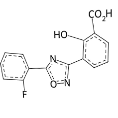 O=C(O)c1cccc(-c2noc(-c3ccccc3F)n2)c1O